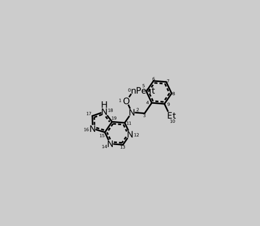 CCCCCON(Cc1ccccc1CC)c1ncnc2nc[nH]c12